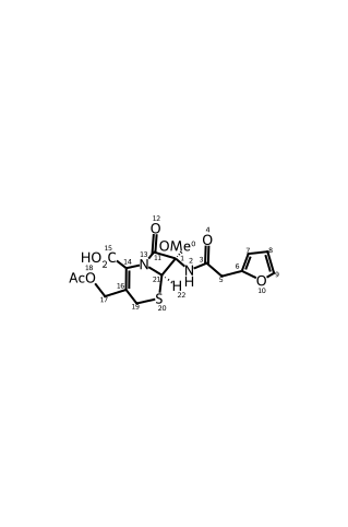 CO[C@@]1(NC(=O)Cc2ccco2)C(=O)N2C(C(=O)O)=C(COC(C)=O)CS[C@@H]21